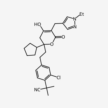 CCn1cc(CC2=C(O)CC(CCc3ccc(C(C)(C)C#N)c(Cl)c3)(C3CCCC3)OC2=O)cn1